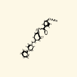 COc1ccc(C(=O)NC2CCC(CCN3CCN(c4ccccn4)CC3)CC2)cc1